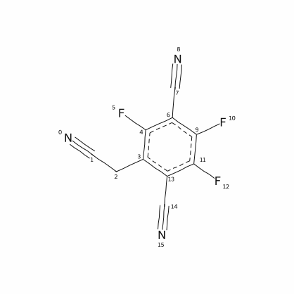 N#CCc1c(F)c(C#N)c(F)c(F)c1C#N